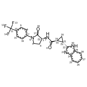 O=C(N[C@H]1CCN(c2ccc(C(F)(F)F)cc2)C1=O)[C@H]1C[C@@H]1c1nc2ccccc2[nH]1